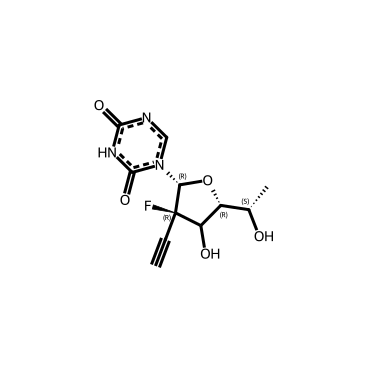 C#C[C@@]1(F)C(O)[C@@H]([C@H](C)O)O[C@H]1n1cnc(=O)[nH]c1=O